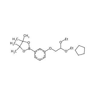 C1CCCC1.CCOC(COc1cccc(B2OC(C)(C)C(C)(C)O2)c1)OCC